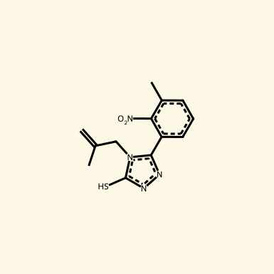 C=C(C)Cn1c(S)nnc1-c1cccc(C)c1[N+](=O)[O-]